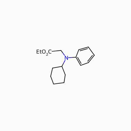 CCOC(=O)CN(c1ccccc1)C1CCCCC1